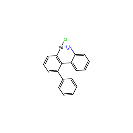 Nc1ccccc1-c1[c]([Pd][Cl])cccc1-c1ccccc1